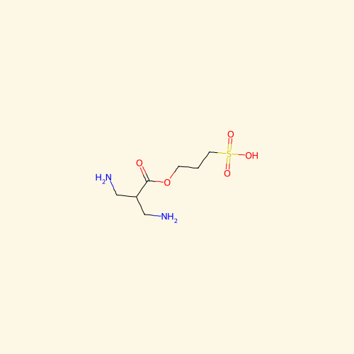 NCC(CN)C(=O)OCCCS(=O)(=O)O